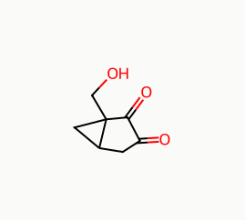 O=C1CC2CC2(CO)C1=O